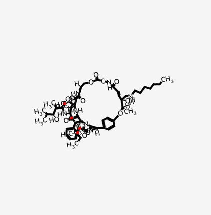 CCCCCCCNC[C@@]1(O)/C=C/C(=O)NCC(=O)OC[C@@H]2NC(=O)[C@@H]([C@@H](C)O)NC(=O)[C@H](Cc3ccccc3)N(C)C(=O)[C@@H](NC(=O)[C@@H]([C@@H](C)CC)NC(=O)[C@@H](NC(=O)[C@H](C)[C@H](O)C(C)C)[C@@H](C)OC2=O)c2ccc(cc2)O[C@@H]1C